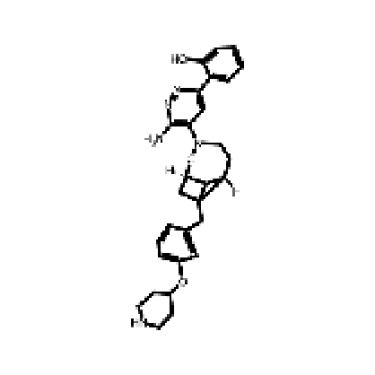 Nc1nnc(-c2ccccc2O)cc1N1CC[C@H]2C3[C@H](C1)CC32Cc1cccc(OC2CCNCC2)c1